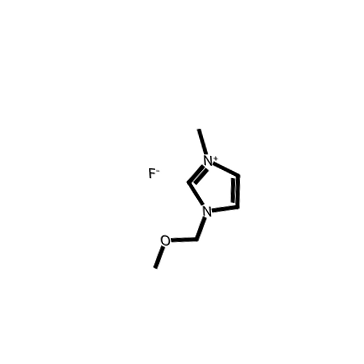 COCn1cc[n+](C)c1.[F-]